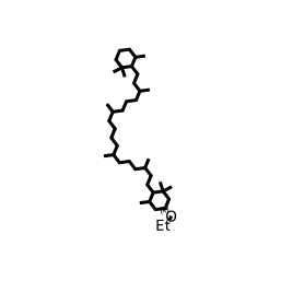 CCO[C@@H]1CC(C)C(CCC(C)CCCC(C)CCCCC(C)CCCC(C)CCC2C(C)CCCC2(C)C)C(C)(C)C1